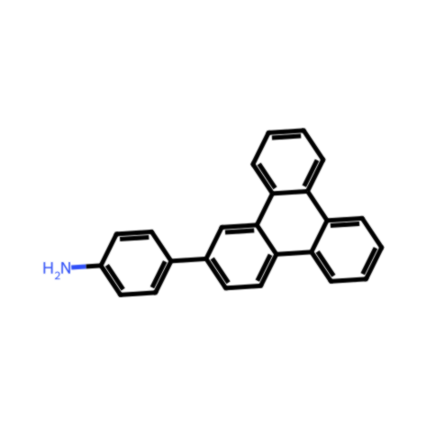 Nc1ccc(-c2ccc3c4ccccc4c4ccccc4c3c2)cc1